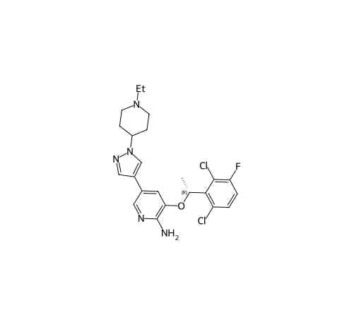 CCN1CCC(n2cc(-c3cnc(N)c(O[C@H](C)c4c(Cl)ccc(F)c4Cl)c3)cn2)CC1